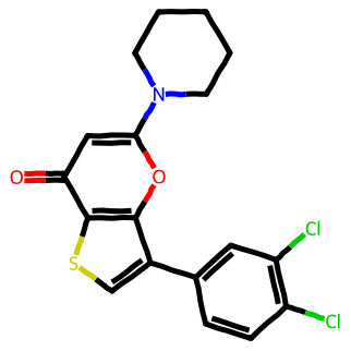 O=c1cc(N2CCCCC2)oc2c(-c3ccc(Cl)c(Cl)c3)csc12